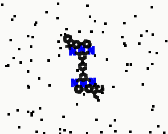 C=CC1=C(/C=C\C)C(C)(C)c2cc3c(cc21)c1ccccc1n3-c1c(C#N)cc(-c2ccc(-c3cc(C#N)c(-n4c5ccccc5c5cc6c(cc54)C(C)(C)c4ccccc4-6)c(C#N)c3)cc2)cc1C#N